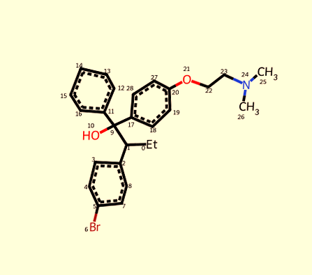 CCC(c1ccc(Br)cc1)C(O)(c1ccccc1)c1ccc(OCCN(C)C)cc1